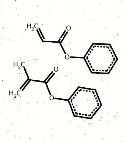 C=C(C)C(=O)Oc1ccccc1.C=CC(=O)Oc1ccccc1